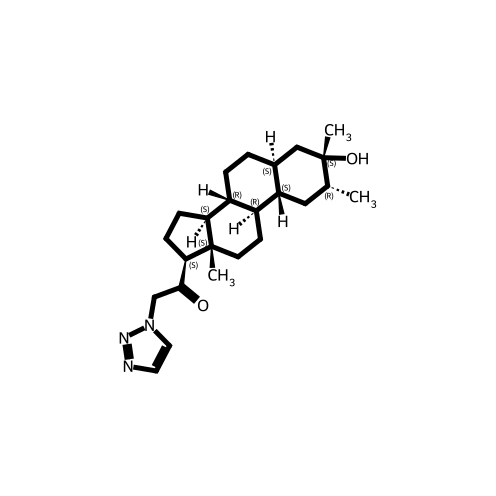 C[C@@H]1C[C@H]2[C@@H](CC[C@@H]3[C@@H]2CC[C@]2(C)[C@@H](C(=O)Cn4ccnn4)CC[C@@H]32)C[C@]1(C)O